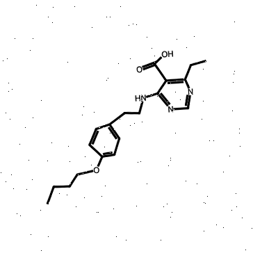 CCCCOc1ccc(CCNc2ncnc(CC)c2C(=O)O)cc1